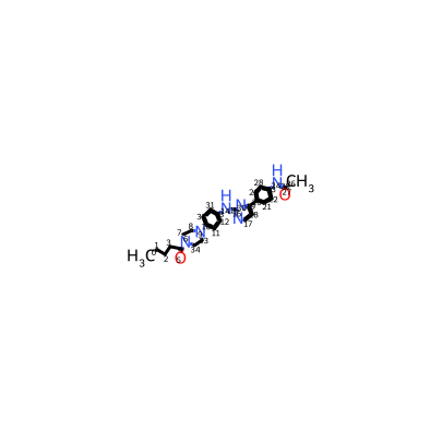 CCCCC(=O)N1CCN(c2ccc(Nc3nccc(-c4ccc(NC(C)=O)cc4)n3)cc2)CC1